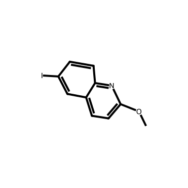 COc1ccc2cc(I)ccc2n1